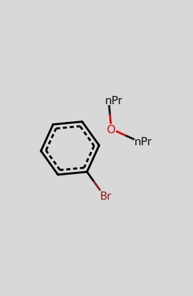 Brc1ccccc1.CCCOCCC